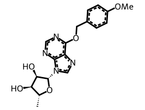 COc1ccc(COc2ncnc3c2ncn3[C@@H]2O[C@H](C)[C@@H](O)[C@H]2O)cc1